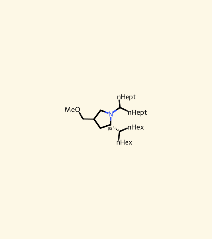 CCCCCCCC(CCCCCCC)N1CC(COC)C[C@H]1C(CCCCCC)CCCCCC